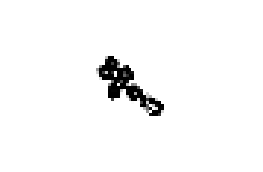 c1ccc2c(-c3c4ccccc4c(-c4ccc(-c5cn6ccccc6n5)cc4)c4ccccc34)cccc2c1